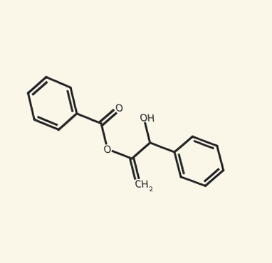 C=C(OC(=O)c1ccccc1)C(O)c1ccccc1